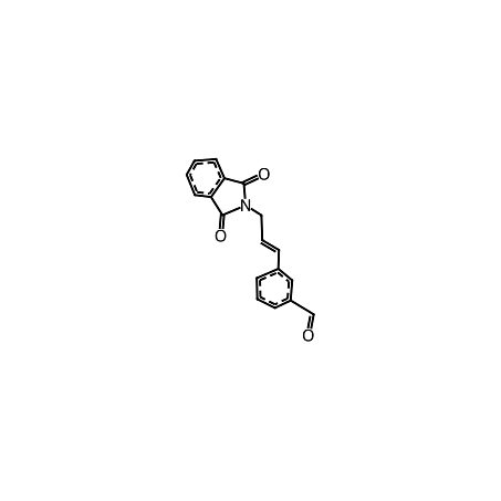 O=Cc1cccc(C=CCN2C(=O)c3ccccc3C2=O)c1